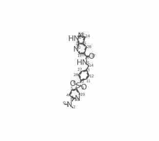 CN(C)c1ccc(S(=O)(=O)c2ccc(CNC(=O)c3cnc4[nH]ncc4c3)cc2)cn1